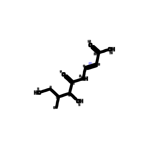 CC(CO)C(O)C(=O)N/C=C/C(=O)O